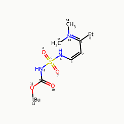 CCC(/C=C\NS(=O)(=O)NC(=O)OC(C)(C)C)=[N+](C)C